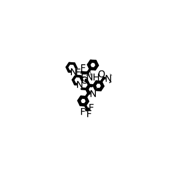 CN(C)C(=O)c1ccc2nc(-c3cccc(C(F)(F)F)c3)c(CN3CCC(N4CCCCC4)CC3)c(C(=O)N[C@H](c3ccccc3)C(F)(F)F)c2c1